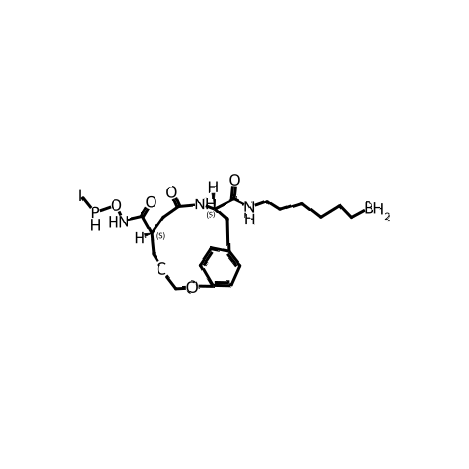 BCCCCCCNC(=O)[C@@H]1Cc2ccc(cc2)OCCC[C@H](C(=O)NOPI)CC(=O)N1